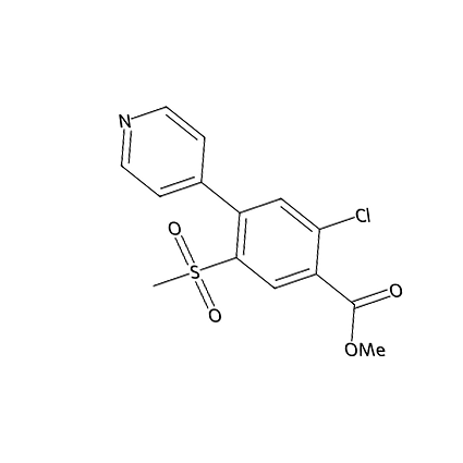 COC(=O)c1cc(S(C)(=O)=O)c(-c2ccncc2)cc1Cl